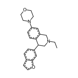 CCN1Cc2cc(N3CCOCC3)ccc2C(c2ccc3ccoc3c2)C1